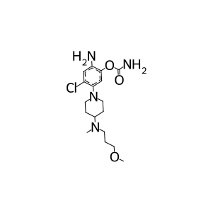 COCCCN(C)C1CCN(c2cc(OC(N)=O)c(N)cc2Cl)CC1